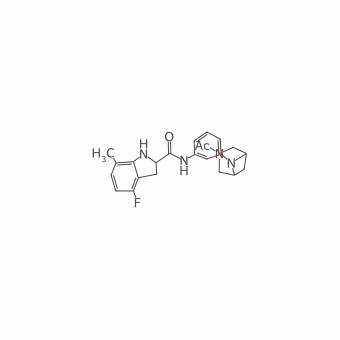 CC(=O)N1CC2CC(C1)N2c1cccc(NC(=O)C2Cc3c(F)ccc(C)c3N2)c1